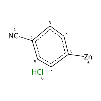 Cl.N#Cc1cc[c]([Zn])cc1